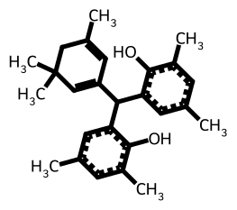 CC1=CC(C(c2cc(C)cc(C)c2O)c2cc(C)cc(C)c2O)=CC(C)(C)C1